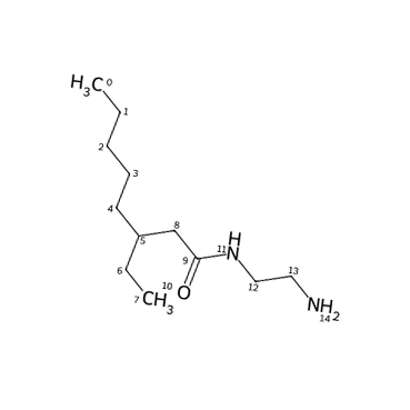 CCCCCC(CC)CC(=O)NCCN